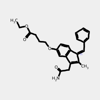 CCOC(=O)CCCOc1ccc2c(c1)C(CC(N)=O)=C(C)/C2=C/c1ccccc1